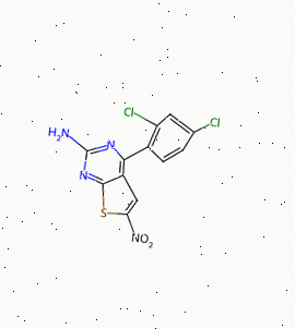 Nc1nc(-c2ccc(Cl)cc2Cl)c2cc([N+](=O)[O-])sc2n1